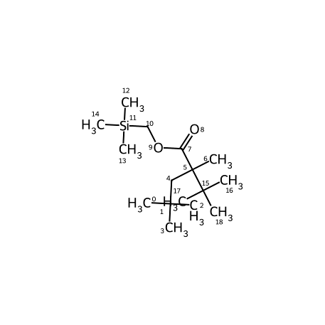 CC(C)(C)CC(C)(C(=O)OC[Si](C)(C)C)C(C)(C)C